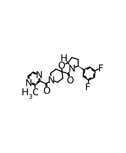 Cc1nccnc1C(=O)N1CCC2(CC1)O[C@@H]1CC[C@@H](c3cc(F)cc(F)c3)N1C2=O